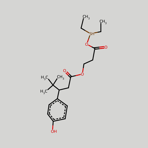 CC[SH](CC)OC(=O)CCOC(=O)CC(c1ccc(O)cc1)C(C)(C)C